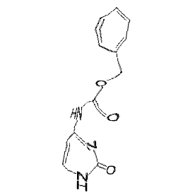 O=C(Nc1cc[nH]c(=O)n1)OCc1ccccc1